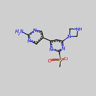 CS(=O)(=O)c1nc(-c2cnc(N)nc2)cc(N2CNC2)n1